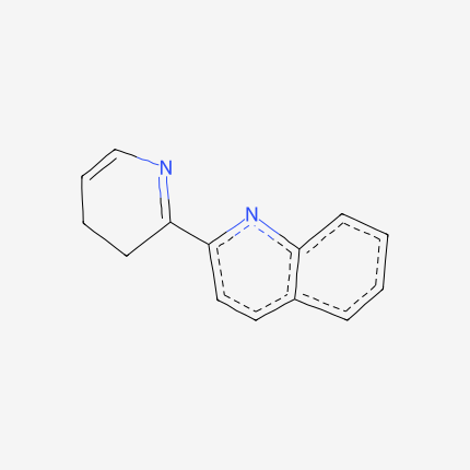 C1=CN=C(c2ccc3ccccc3n2)CC1